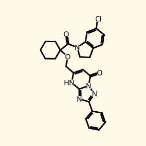 O=C(N1CCc2ccc(Cl)cc21)C1(OCc2cc(=O)n3nc(-c4ccccc4)nc3[nH]2)CCCCC1